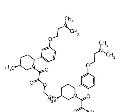 C[C@H]1CC[C@H](c2cccc(OCCN(C)C)c2)N(C(=O)C(=O)OCC(F)(F)F)C1.C[C@H]1CC[C@H](c2cccc(OCCN(C)C)c2)N(C(=O)C(N)=O)C1